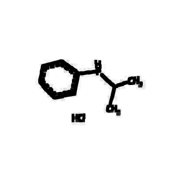 CC(C)Pc1ccccc1.Cl